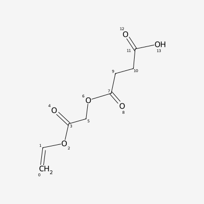 C=COC(=O)COC(=O)CCC(=O)O